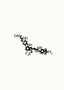 COCC(O)CN1CCC(Nc2cccc3c2cc(C#CCNc2ccc(S(N)(=O)=O)cc2O)n3CC(F)(F)F)CC1